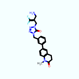 CN1C(=O)CCc2cc(-c3cccc(Cn4nnn(CC(CN)=C(F)F)c4=O)c3)ccc21